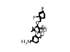 Cc1nc(OCc2ccc(F)cc2F)c(Br)c(=O)n1-c1cc(N)ccc1F.Cl